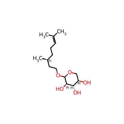 CC(C)=CCC[C@H](C)CCOC1OC[C@@H](O)[C@H](O)[C@H]1O